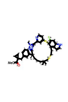 COC(=O)C1(Cc2cccc([C@@]3(C)CCCC(C)(C)CSCCc4c(c(F)cc5[nH]ccc45)Sc4ccnc(c4)-c4nc3nn4C)c2)CC1